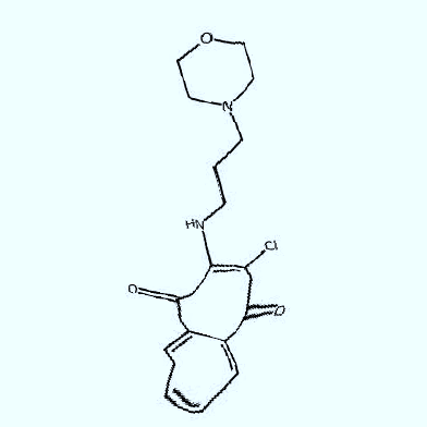 O=C1C(Cl)=C(NCCCN2CCOCC2)C(=O)c2ccccc21